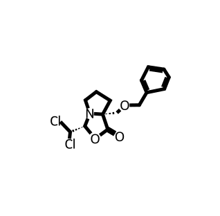 O=C1O[C@H](C(Cl)Cl)N2CCC[C@@]12COCc1ccccc1